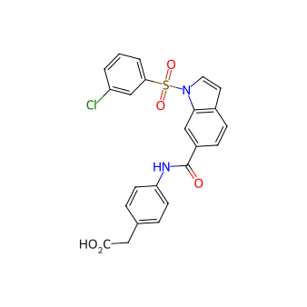 O=C(O)Cc1ccc(NC(=O)c2ccc3ccn(S(=O)(=O)c4cccc(Cl)c4)c3c2)cc1